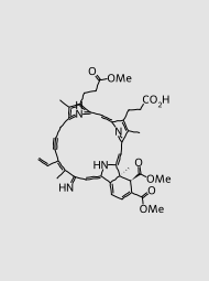 C=C/C1=C(\C)C(=N)/C=C2\N/C(=C\C3=NC(=C\c4[nH]c(c(C)c4CCC(=O)OC)CC#C1)/C(CCC(=O)O)=C3C)[C@]1(C)C2=CC=C(C(=O)OC)[C@@H]1C(=O)OC